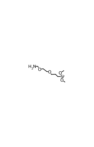 CO[Si](C)(CCCOCCOCN)OC